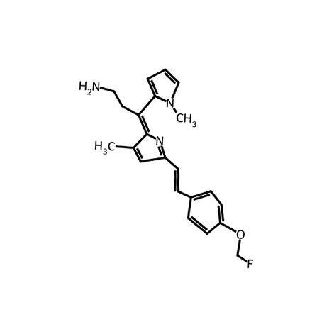 CC1=CC(/C=C/c2ccc(OCF)cc2)=NC/1=C(/CCN)c1cccn1C